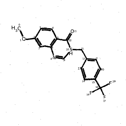 COc1ccc2c(c1)N=C[SH](Cc1ccc(C(F)(F)F)cc1)C2=O